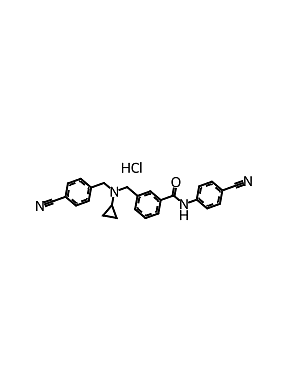 Cl.N#Cc1ccc(CN(Cc2cccc(C(=O)Nc3ccc(C#N)cc3)c2)C2CC2)cc1